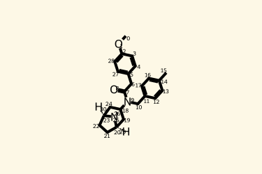 COc1ccc(CC(=O)N(Cc2ccc(C)cc2)C2C[C@H]3CC[C@@H](C2)N3C)cc1